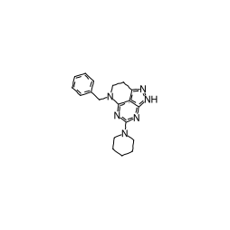 c1ccc(CN2CCc3n[nH]c4nc(N5CCCCC5)nc2c34)cc1